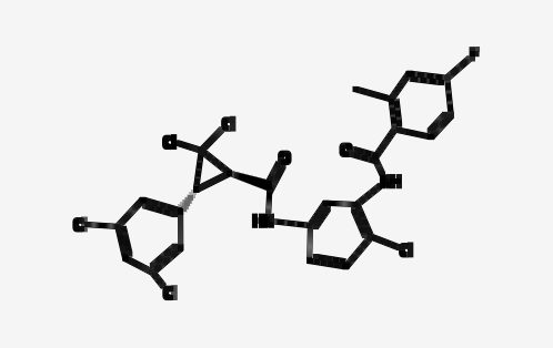 Cc1cc(F)ccc1C(=O)Nc1cc(NC(=O)[C@H]2[C@H](c3cc(Cl)cc(Cl)c3)C2(Cl)Cl)ccc1Cl